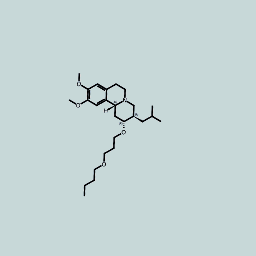 CCCCOCCCO[C@@H]1C[C@@H]2c3cc(OC)c(OC)cc3CCN2C[C@H]1CC(C)C